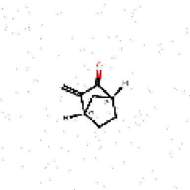 C=C1C(=O)[C@@H]2CC[C@H]1C2